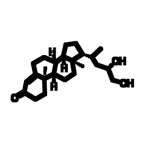 CC(C[C@@H](O)CO)[C@H]1CC[C@H]2[C@@H]3CCC4=CC(=O)CC[C@]4(C)[C@H]3CC[C@]12C